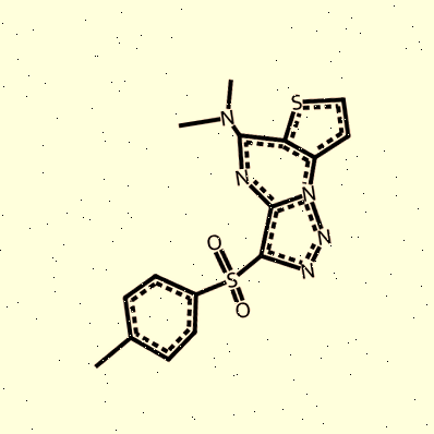 Cc1ccc(S(=O)(=O)c2nnn3c2nc(N(C)C)c2sccc23)cc1